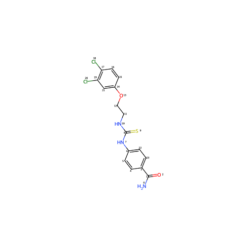 NC(=O)c1ccc(NC(=S)NCCOc2ccc(Cl)c(Cl)c2)cc1